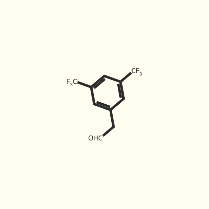 O=CCc1cc(C(F)(F)F)cc(C(F)(F)F)c1